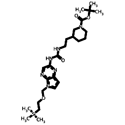 CC(C)(C)OC(=O)N1CCCC(CCNC(=O)Nc2cnc3c(ccn3COCC[Si](C)(C)C)n2)C1